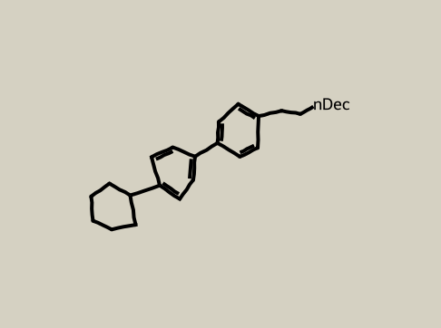 CCCCCCCCCCCCc1ccc(-c2ccc(C3CCCCC3)cc2)cc1